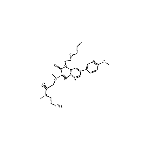 CCCOCCn1c(=O)c(N(C)CC(=O)N(C)CCO)nc2ncc(-c3ccc(OC)nc3)cc21